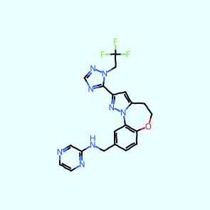 FC(F)(F)Cn1ncnc1-c1cc2n(n1)-c1cc(CNc3cnccn3)ccc1OCC2